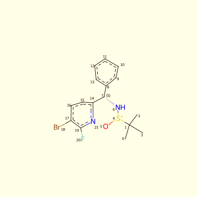 CC(C)(C)[S+]([O-])N[C@@H](c1ccccc1)c1ccc(Br)c(F)n1